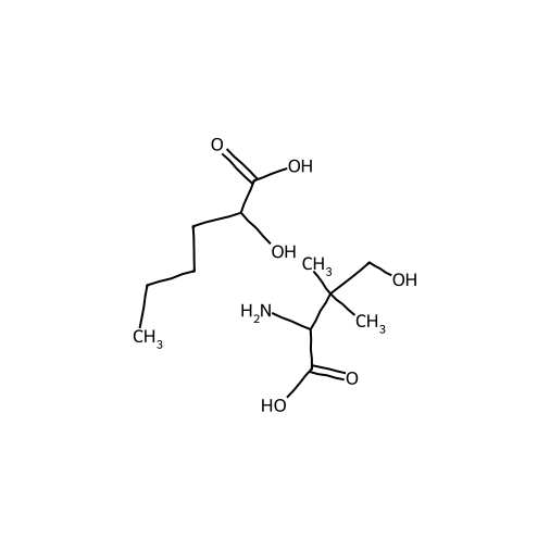 CC(C)(CO)C(N)C(=O)O.CCCCC(O)C(=O)O